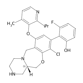 Cc1ccnc(C(C)C)c1Oc1cc(-c2c(O)cccc2F)c(Cl)c2c1CN1CCNC[C@H]1CO2